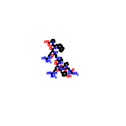 CC(C)[C@@H](NC(=O)[C@H](CCCNC(=N)N)NC(=O)[C@@H](Cc1ccc(O)cc1)NC(=O)[C@H]1CCCN1C(=O)CNC(=O)CN)C(=O)NCCC(=O)N[C@@H](CCCNC(=N)N)C(=O)N[C@H](Cc1ccc2ccccc2c1)C(=O)N1CCC[C@H]1C(=O)O